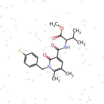 COC(=O)C(NC(=O)c1cc(C)c(C)n(Cc2ccc(F)cc2)c1=O)C(C)C